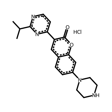 CC(C)c1nccc(-c2cc3ccc(N4CCNCC4)cc3oc2=O)n1.Cl